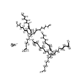 CCCCCCCC[N+](CCCCCCCC)(CCCCCCCC)CCCCCCCC.CCCCCCCC[N+](CCCCCCCC)(CCCCCCCC)CCCCCCCC.[Br-].[I-]